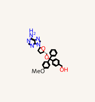 COc1ccc(C(OC[C@@H]2CC[C@H](n3cnc4c(N)ncnc43)O2)(c2ccccc2)c2ccc(CO)cc2)cc1